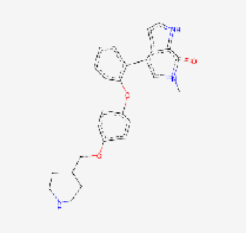 Cn1cc(-c2ccccc2Oc2ccc(OCC3CCNCC3)cc2)c2cc[nH]c2c1=O